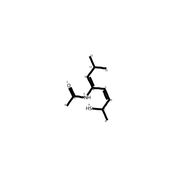 CC(=O)NC(/C=C\C(C)S)=C/C(C)C